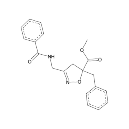 COC(=O)C1(Cc2ccccc2)CC(CNC(=O)c2ccccc2)=NO1